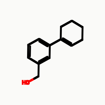 OCc1cccc(C2=CCCCC2)c1